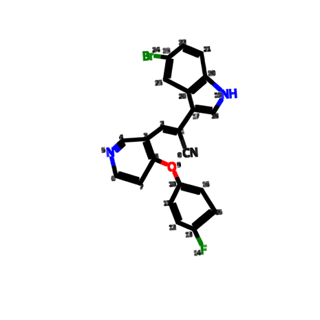 N#CC(=Cc1cnccc1Oc1ccc(F)cc1)c1c[nH]c2ccc(Br)cc12